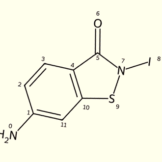 Nc1ccc2c(=O)n(I)sc2c1